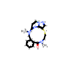 CN1CCSC2=C3N=C(C=C[N+]3(F)N=C2)N(C)Cc2ccccc2C1=O